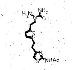 CC(=O)Nc1nc(CCc2ccc(CCN(N)C(N)=O)s2)cs1